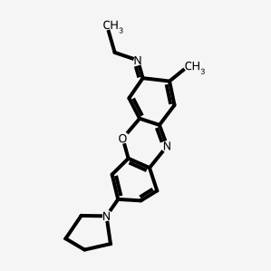 CCN=c1cc2oc3cc(N4CCCC4)ccc3nc-2cc1C